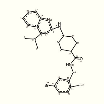 CN(C)c1nc(NC2CCC(C(=O)NCc3cc(Br)ccc3F)CC2)nc2ccccc12